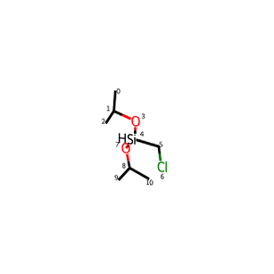 CC(C)O[SiH](CCl)OC(C)C